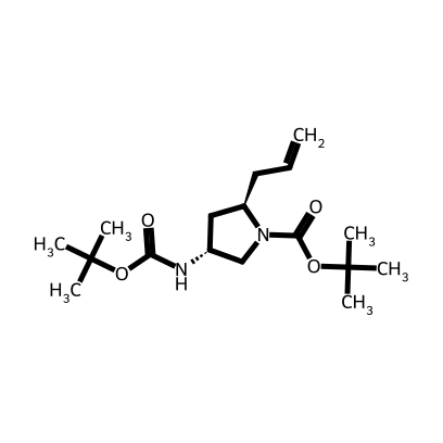 C=CC[C@@H]1C[C@@H](NC(=O)OC(C)(C)C)CN1C(=O)OC(C)(C)C